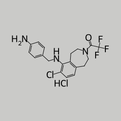 Cl.Nc1ccc(CNc2c(Cl)ccc3c2CCN(C(=O)C(F)(F)F)CC3)cc1